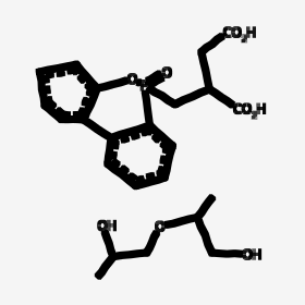 CC(O)COC(C)CO.O=C(O)CC(CP1(=O)Oc2ccccc2-c2ccccc21)C(=O)O